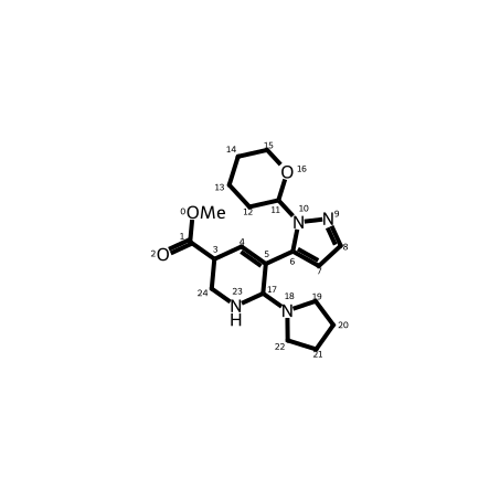 COC(=O)C1C=C(c2ccnn2C2CCCCO2)C(N2CCCC2)NC1